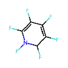 FC1=C(F)C(F)N(F)C(F)=C1F